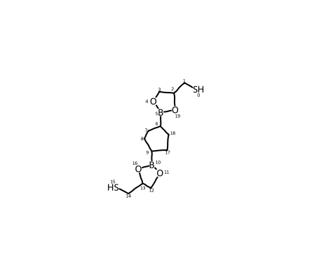 SCC1COB(C2CCC(B3OCC(CS)O3)CC2)O1